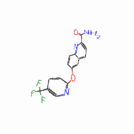 NC(=O)c1ccc2cc(Oc3ccc(C(F)(F)F)cn3)ccc2n1